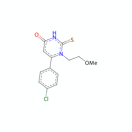 COCCn1c(-c2ccc(Cl)cc2)cc(=O)[nH]c1=S